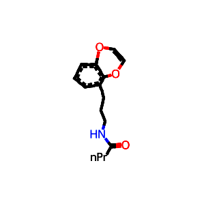 CCCC(=O)NCCCc1cccc2c1OC=CO2